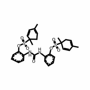 CC1=CCC(C)(S(=O)(=O)Oc2ccccc2NC(=O)Nc2ccccc2OS(=O)(=O)C2(C)C=CC(C)=CC2)C=C1